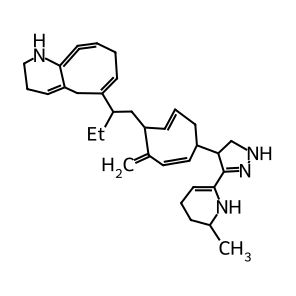 C=C1/C=C\C(C2CNN=C2C2=CCCC(C)N2)C/C=C/C1CC(CC)/C1=C/CC=C=C2NCCC=C2C1